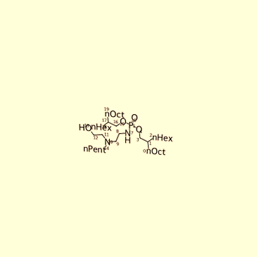 CCCCCCCCC(CCCCCC)COP(=O)(NCCN(CCO)CCCCC)OCC(CCCCCC)CCCCCCCC